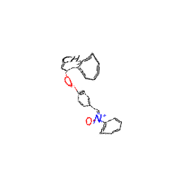 C=CC(Oc1ccc(C=[N+]([O-])c2ccccc2)cc1)c1ccccc1